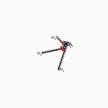 C/C=C/C/C=C/CC(=O)OC(c1ccc(OC(=O)CCCCCCCCCCCCCCCCC)c(OC(=O)CCCCCCCCCCCCCCCCC)c1)C(N)C(C)(C)C